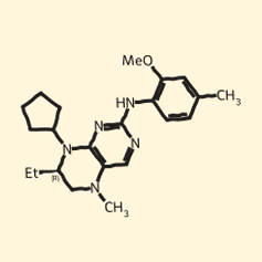 CC[C@@H]1CN(C)c2cnc(Nc3ccc(C)cc3OC)nc2N1C1CCCC1